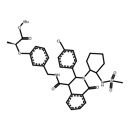 C[C@H](Oc1cccc(CNC(=O)C2c3ccccc3C(=O)N(C3CCCCC3NS(C)(=O)=O)C2c2ccc(Cl)cc2)c1)C(=O)OC(C)(C)C